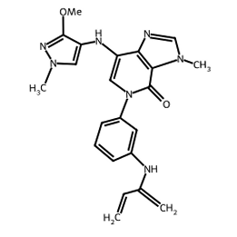 C=CC(=C)Nc1cccc(-n2cc(Nc3cn(C)nc3OC)c3ncn(C)c3c2=O)c1